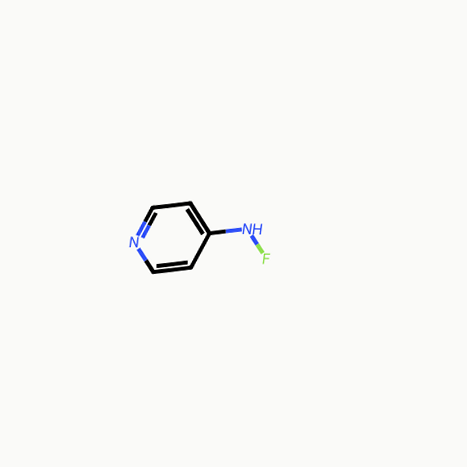 FNc1ccncc1